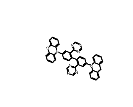 c1ccc2c(c1)Cc1ccccc1N2c1ccc(-c2ccc(N3c4ccccc4Oc4ccccc43)cc2-c2ncncn2)c(-c2ncncn2)c1